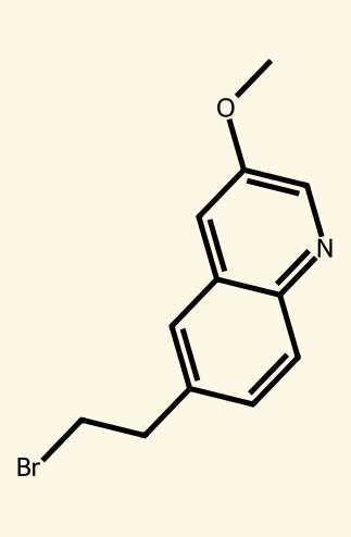 COc1cnc2ccc(CCBr)cc2c1